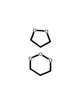 C1COOC1.C1COOOC1